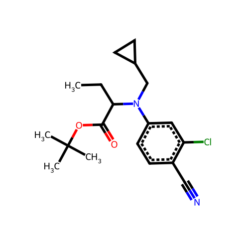 CCC(C(=O)OC(C)(C)C)N(CC1CC1)c1ccc(C#N)c(Cl)c1